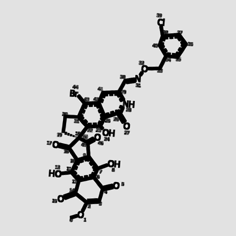 COC1=CC(=O)c2c(O)c3c(c(O)c2C1=O)C(=O)[C@]1(CCc2c1c(O)c1c(=O)[nH]c(C=NOCc4cccc(Cl)c4)cc1c2Br)C3=O